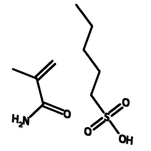 C=C(C)C(N)=O.CCCCCS(=O)(=O)O